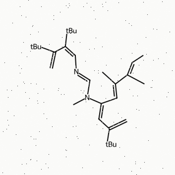 C=C(\C=C(/C=C(C)/C(C)=C/C)N(C)/C=N/C=C(\C(=C)C(C)(C)C)C(C)(C)C)C(C)(C)C